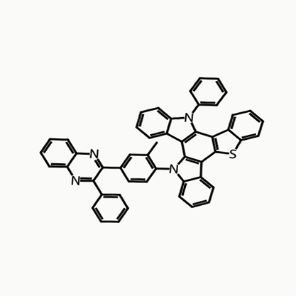 Cc1cc(-c2nc3ccccc3nc2-c2ccccc2)ccc1-n1c2ccccc2c2c3sc4ccccc4c3c3c(c4ccccc4n3-c3ccccc3)c21